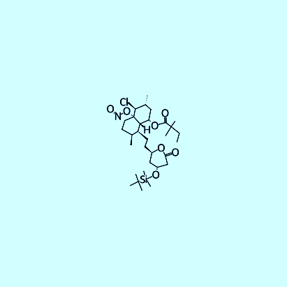 CCC(C)(C)C(=O)O[C@H]1C[C@@H](C)[C@H](Cl)[C@]2(ON=O)CC[C@H](C)[C@H](CC[C@@H]3C[C@@H](O[Si](C)(C)C(C)(C)C)CC(=O)O3)[C@@H]12